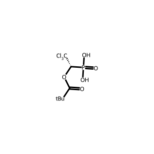 CC(C)(C)C(=O)O[C@H](C(Cl)(Cl)Cl)P(=O)(O)O